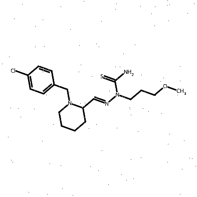 COCCCN(N=CC1CCCCN1Cc1ccc(Cl)cc1)C(N)=S